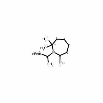 CCCCCC(C)N1C(C(C)(C)C)CCCCC1(C)C